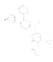 CCCCc1nc(C2CC2)c(CC(=O)N(C)C)c(=O)n1Cc1ccc(-c2ccccc2-c2noc(=O)[nH]2)cc1